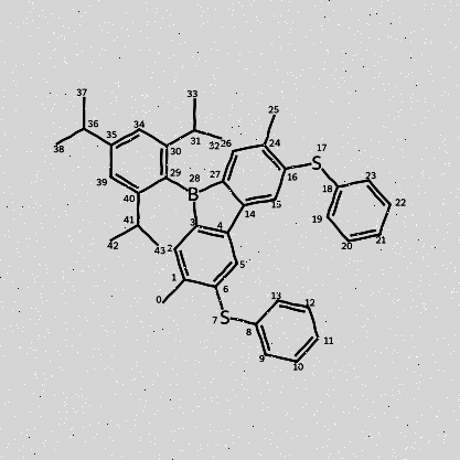 Cc1cc2c(cc1Sc1ccccc1)-c1cc(Sc3ccccc3)c(C)cc1B2c1c(C(C)C)cc(C(C)C)cc1C(C)C